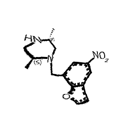 C[C@@H]1CN(Cc2cc([N+](=O)[O-])cc3ccoc23)[C@@H](C)CN1